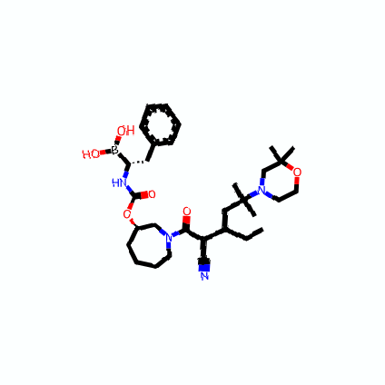 CCC(CC(C)(C)N1CCOC(C)(C)C1)C(C#N)C(=O)N1CCCC[C@@H](OC(=O)N[C@@H](Cc2ccccc2)B(O)O)C1